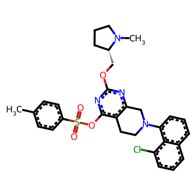 Cc1ccc(S(=O)(=O)Oc2nc(OC[C@@H]3CCCN3C)nc3c2CCN(c2cccc4cccc(Cl)c24)C3)cc1